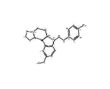 FCc1ccc2c(n1)C1C3CCCN3CCC1N2CCc1ccc(F)cc1